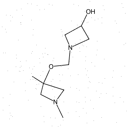 CN1CC(C)(OCN2CC(O)C2)C1